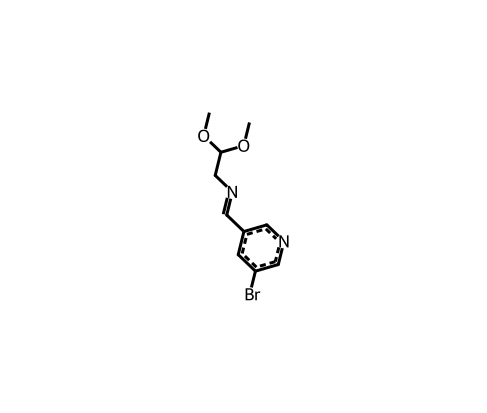 COC(C/N=C/c1cncc(Br)c1)OC